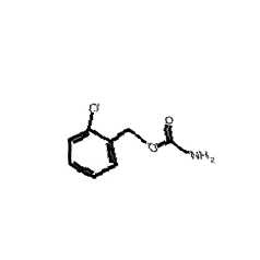 NC(=O)OCc1ccccc1Cl